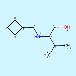 CC(C)C(CO)NCC1CCC1